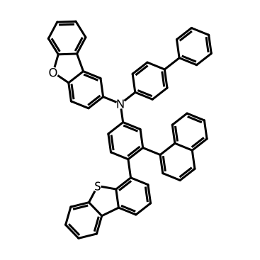 c1ccc(-c2ccc(N(c3ccc(-c4cccc5c4sc4ccccc45)c(-c4cccc5ccccc45)c3)c3ccc4oc5ccccc5c4c3)cc2)cc1